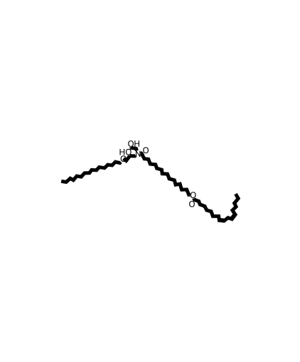 CCCCC/C=C\C/C=C\CCCCCCCC(=O)OCCCCCCCCCCCCCCCC(=O)N(CCO)CC(O)COCCCCCCCCCCCCCCCC